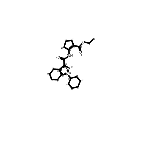 CCOC(=O)C1=C(NC(=O)c2nn(C3CCCCC3)c3c2CCCC3)CCC1